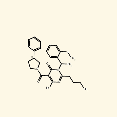 CCCCc1nc(O)c(C(=O)N2CC[C@H](c3ccccc3)C2)c(=O)n1C(C)c1ccccc1OC